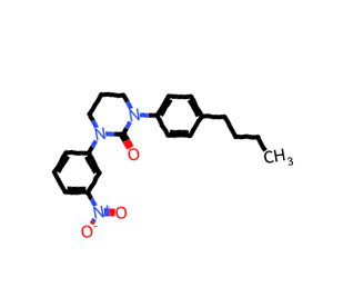 CCCCc1ccc(N2CCCN(c3cccc([N+](=O)[O-])c3)C2=O)cc1